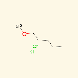 CCCCC[O][Al+2].[Cl-].[Cl-]